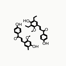 CCc1cc(/C=C/C(=O)c2ccc(O)cc2)c(OC)c(CC)c1O.COc1cc(O)c(C)cc1/C=C/C(=O)c1ccc(O)cc1